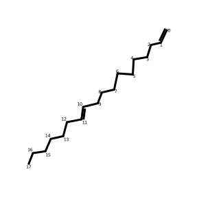 C=CCCCCCCCCC=CCCCCCC